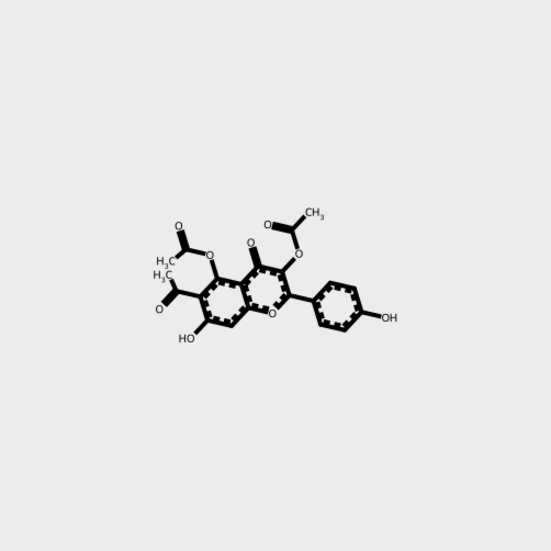 CC(=O)Oc1c(-c2ccc(O)cc2)oc2cc(O)c(C(C)=O)c(OC(C)=O)c2c1=O